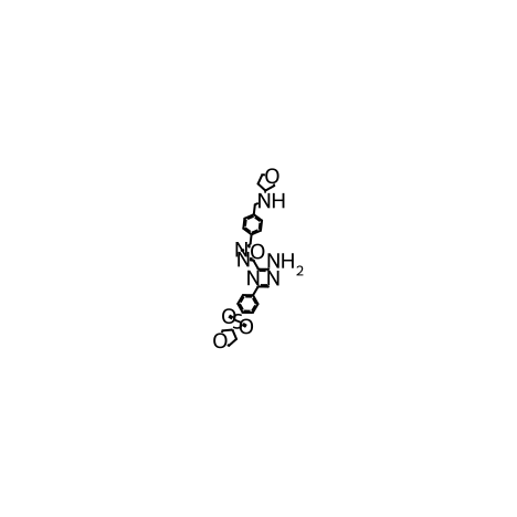 Nc1ncc(-c2ccc(S(=O)(=O)C3CCOC3)cc2)nc1-c1nnc(-c2ccc(CN[C@H]3CCOC3)cc2)o1